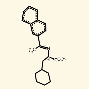 O=C(O)[C@@H](CC1CCCCC1)/N=C(/c1ccc2ccccc2c1)C(F)(F)F